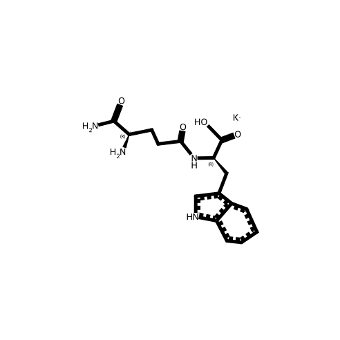 NC(=O)[C@H](N)CCC(=O)N[C@H](Cc1c[nH]c2ccccc12)C(=O)O.[K]